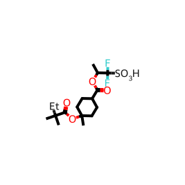 CCC(C)(C)C(=O)OC1(C)CCC(C(=O)OC(C)C(F)(F)S(=O)(=O)O)CC1